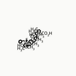 CC[C@@H](C(=O)[C@@H](C)[C@@H](O)[C@H](C)[C@@H]1O[C@@H](CC(=O)O)CC[C@@H]1C)[C@H]1O[C@]2(C=C[C@@H](NC(=S)SCc3ccccc3)[C@]3(CC[C@@](C)([C@H]4CC[C@@H](O)[C@H](C)O4)O3)O2)[C@H](C)C[C@@H]1C